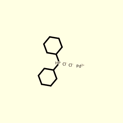 C1CCC(PC2CCCCC2)CC1.[Cl-].[Cl-].[Pd+2]